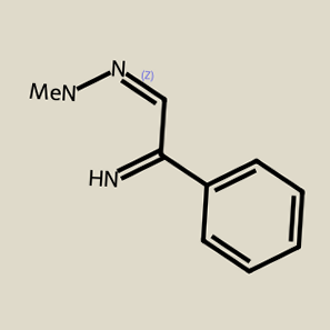 CN/N=C\C(=N)c1ccccc1